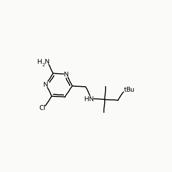 CC(C)(C)CC(C)(C)NCc1cc(Cl)nc(N)n1